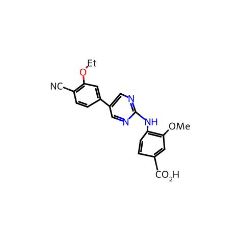 CCOc1cc(-c2cnc(Nc3ccc(C(=O)O)cc3OC)nc2)ccc1C#N